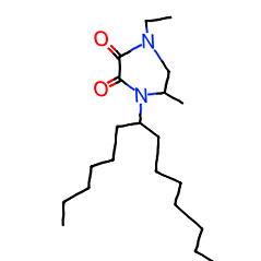 CCCCCCCC(CCCCCC)N1C(=O)C(=O)N(CC)CC1C